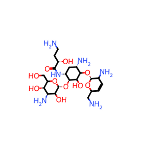 NCC[C@H](O)C(=O)N[C@@H]1C[C@H](N)C(O[C@H]2OC(CN)C=CC2N)C(O)[C@H]1O[C@H]1OC(CO)[C@H](O)[C@H](N)C1O